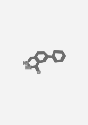 O=C1NNCc2ccc(-c3ccccc3)cc21